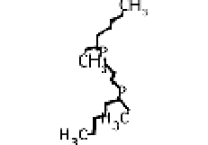 CCCCCC(CC)=PCCCP=C(CC)CCCCC